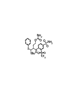 CC(C)(C)C(Sc1ccccc1)C(CCOC(N)=O)Nc1ccc(S(N)(=O)=O)cc1S(=O)(=O)C(F)(F)F